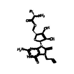 C=CCN1C(=C)N([C@@H]2O[C@H](COC(=O)[C@@H](N)C(C)C)[C@@H](O)[C@H]2O)c2nc(N)[nH]c(=O)c21